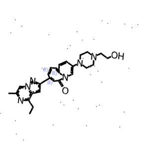 CCc1nc(C)cn2nc(C3=C\C(=O)N4C=C(N5CCN(CCO)CC5)C=C\C4=C/C=C/3)cc12